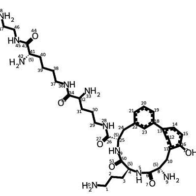 NCCC[C@@H]1NC(=O)[C@@H](N)Cc2cc(ccc2O)-c2cccc(c2)C[C@@H](C(=O)NCCCC(N)C(=O)NCCCC[C@H](N)C(=O)NCCN)NC1=O